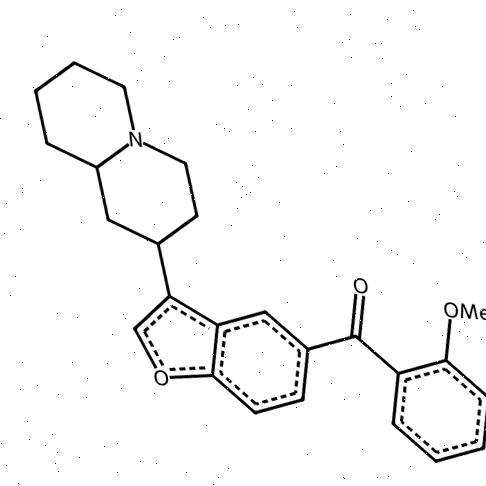 COc1ccccc1C(=O)c1ccc2occ(C3CCN4CCCCC4C3)c2c1